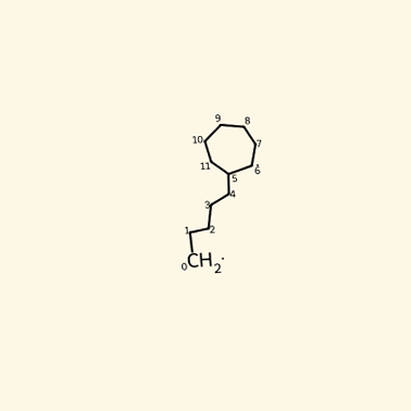 [CH2]CCCCC1[CH]CCCCC1